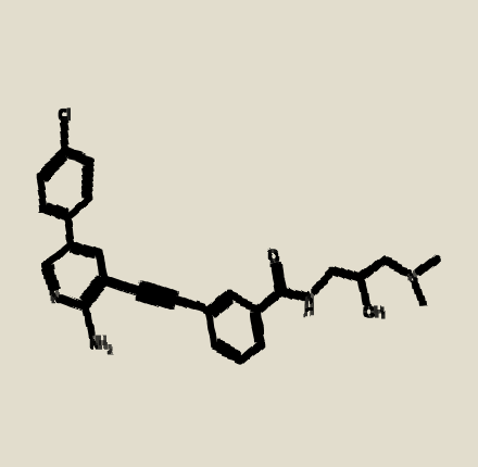 CN(C)CC(O)CNC(=O)c1cccc(C#Cc2cc(-c3ccc(Cl)cc3)cnc2N)c1